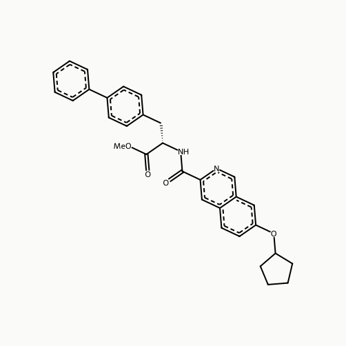 COC(=O)[C@H](Cc1ccc(-c2ccccc2)cc1)NC(=O)c1cc2ccc(OC3CCCC3)cc2cn1